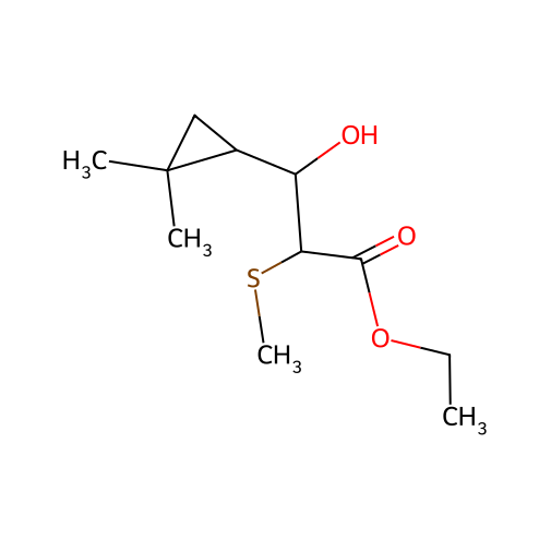 CCOC(=O)C(SC)C(O)C1CC1(C)C